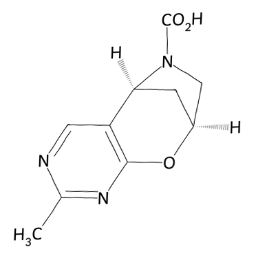 Cc1ncc2c(n1)O[C@H]1C[C@@H]2N(C(=O)O)C1